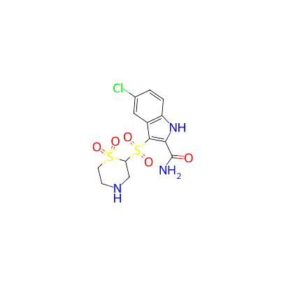 NC(=O)c1[nH]c2ccc(Cl)cc2c1S(=O)(=O)C1CNCCS1(=O)=O